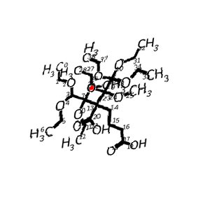 CCOC(OCC)C(OC)(OCC)C(CCCC(=O)O)(C(=O)O)C(OC)(OCC)C(OCC)(OCC)OCC